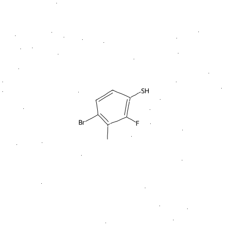 Cc1c(Br)ccc(S)c1F